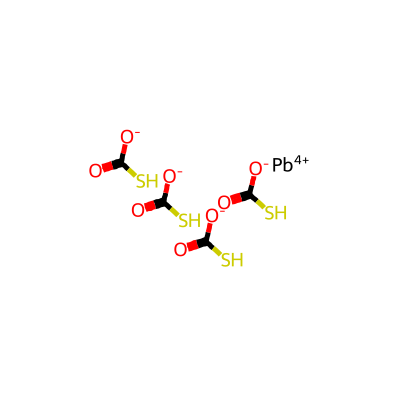 O=C([O-])S.O=C([O-])S.O=C([O-])S.O=C([O-])S.[Pb+4]